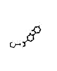 Nc1ccc2c(c1)[nH]c1cc(-c3cnc(C4CCCN4)[nH]3)ccc12